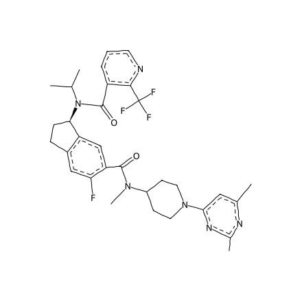 Cc1cc(N2CCC(N(C)C(=O)c3cc4c(cc3F)CC[C@H]4N(C(=O)c3cccnc3C(F)(F)F)C(C)C)CC2)nc(C)n1